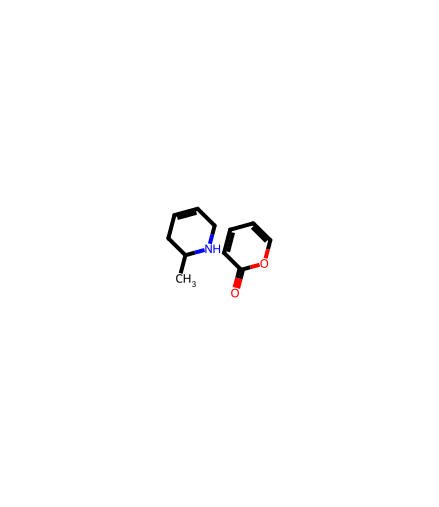 CC1CC=CCN1.O=c1cccco1